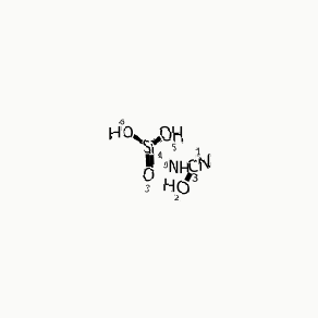 N.N#CO.O=[Si](O)O